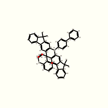 CC1(C)c2ccccc2-c2cc3c(cc21)N(c1ccc(-c2ccccc2)cc1)c1cc2c(cc1C31c3ccccc3Sc3ccccc31)-c1ccccc1C2(C)C